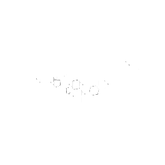 CCc1cc(Nc2nccn3c(-c4cn(CCN5CCOCC5)nc4C(F)(F)F)cnc23)ccc1C(=O)NCCOCCN